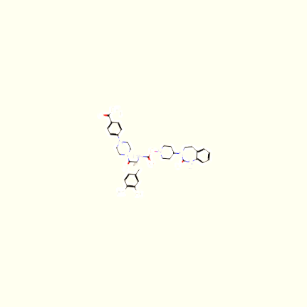 CCc1ccc(C[C@@H](NC(=O)ON2CCC(N3CCc4ccccc4NC3=O)CC2)C(=O)N2CCN(c3ccc(C(=O)C(F)(F)F)cc3)CC2)cc1CC